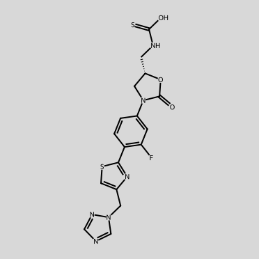 O=C1O[C@@H](CNC(O)=S)CN1c1ccc(-c2nc(Cn3cncn3)cs2)c(F)c1